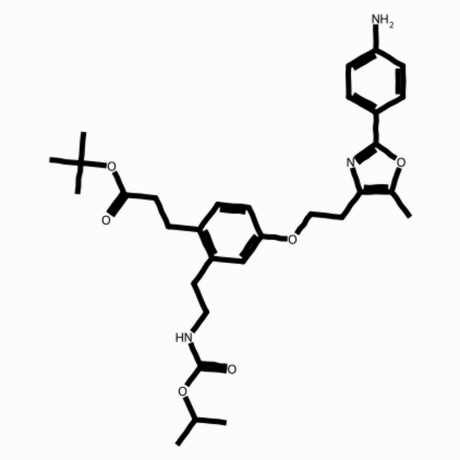 Cc1oc(-c2ccc(N)cc2)nc1CCOc1ccc(CCC(=O)OC(C)(C)C)c(CCNC(=O)OC(C)C)c1